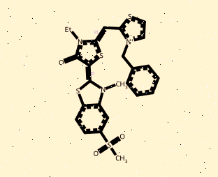 CCn1c(=O)/c(=C2\Sc3ccc(S(C)(=O)=O)cc3N2C)s/c1=C\c1scc[n+]1Cc1ccccc1